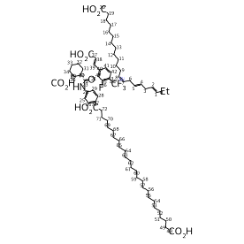 CCC=CCC=CC/C=C\CCCCCCCCCCCC(=O)O.O=C(Nc1ccccc1)[C@H]1CCCC[C@H]1C(=O)O.O=C(O)C=Cc1ccc(C(F)(F)F)c(F)c1.O=C(O)CCCCCCCCCCCCCCCCCCCCCCCCC(=O)O